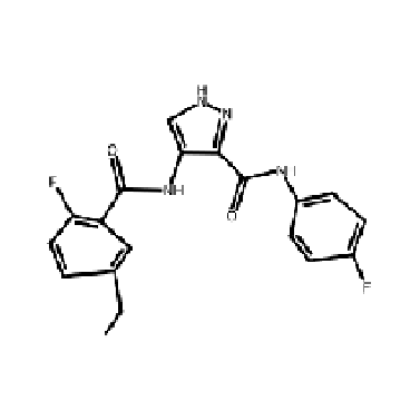 CCc1ccc(F)c(C(=O)Nc2c[nH]nc2C(=O)Nc2ccc(F)cc2)c1